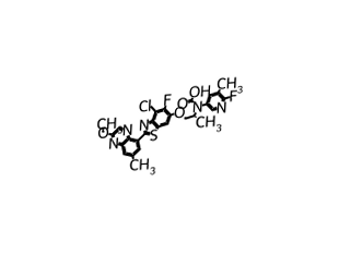 COc1cnc2c(-c3nc4c(Cl)c(F)c(OC[C@@H](C)N(C(=O)O)c5cnc(F)c(C)c5)cc4s3)cc(C)cc2n1